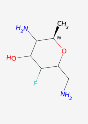 C[C@H]1OC(CN)C(F)C(O)C1N